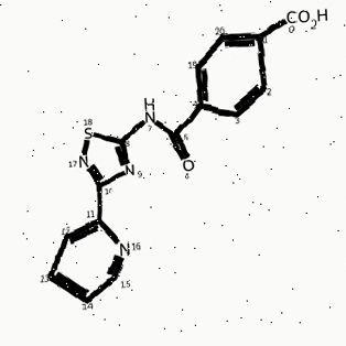 O=C(O)c1ccc(C(=O)Nc2nc(-c3ccccn3)ns2)cc1